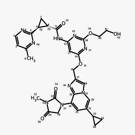 Cc1ccnc([C@H]2C[C@@H]2C(=O)Nc2cc(OCc3cn4cc(C5CC5)cc(N5CC(=O)N(C)C5=O)c4n3)nc(OCCO)n2)n1